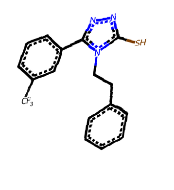 FC(F)(F)c1cccc(-c2nnc(S)n2CCc2ccccc2)c1